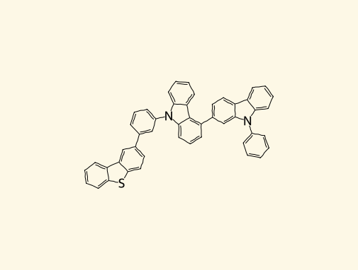 c1ccc(-n2c3ccccc3c3ccc(-c4cccc5c4c4ccccc4n5-c4cccc(-c5ccc6sc7ccccc7c6c5)c4)cc32)cc1